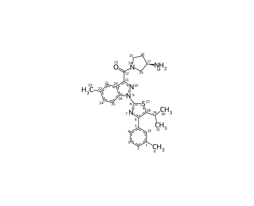 Cc1cccc(-c2nc(-n3nc(C(=O)N4CC[C@@H](N)C4)c4cc(C)ccc43)sc2C(C)C)c1